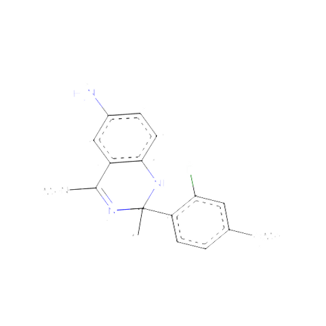 CNC1=NC(C)(c2ccc(OC)cc2F)Nc2ccc(N)cc21